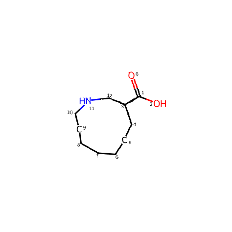 O=C(O)C1CCCCCCCNC1